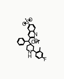 COc1nc2ccc(S(C)(=O)=O)cc2cc1C(c1ccccc1)C1(O)CCNC(c2ccc(F)cc2C)C1